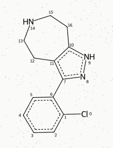 Clc1ccccc1-c1n[nH]c2c1CCNCC2